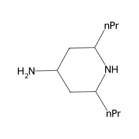 CCCC1CC(N)CC(CCC)N1